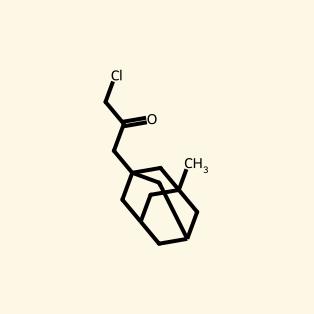 CC12CC3CC(C1)CC(CC(=O)CCl)(C3)C2